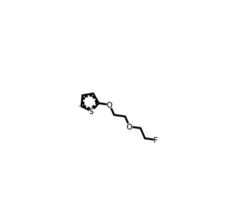 FCCOCCOc1cc[c]s1